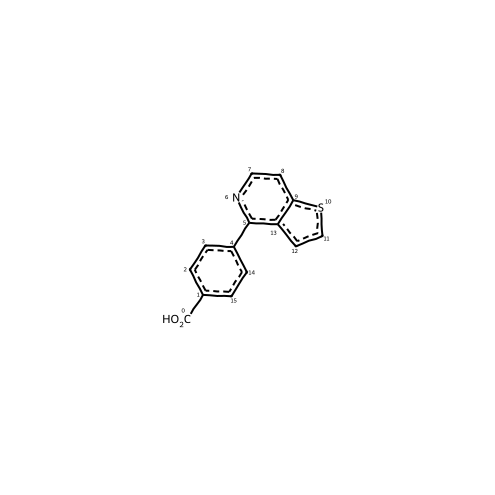 O=C(O)c1ccc(-c2nccc3sccc23)cc1